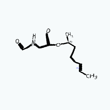 C/C=C/CC[C@H](C)OC(=O)CNC=O